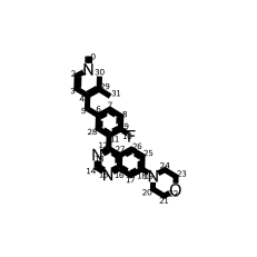 C=N/C=C\C(Cc1ccc(F)c(-c2ncnc3cc(N4CCOCC4)ccc23)c1)=C(C)C